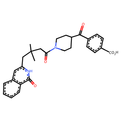 CC(C)(CC(=O)N1CCC(C(=O)c2ccc(C(=O)O)cc2)CC1)Cc1cc2ccccc2c(=O)[nH]1